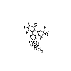 CN(C)c1c(F)cc(-c2c(F)c(F)c(F)c(F)c2-c2ccc(S(N)(=O)=O)cc2)cc1F